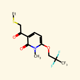 CCSCC(=O)c1ccc(OCC(F)(F)C(F)(F)F)n(C)c1=O